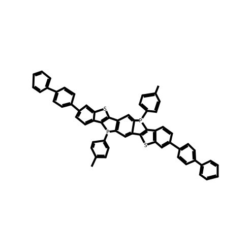 Cc1ccc(-p2c3cc4c5sc6cc(-c7ccc(-c8ccccc8)cc7)ccc6c5p(-c5ccc(C)cc5)c4cc3c3sc4cc(-c5ccc(-c6ccccc6)cc5)ccc4c32)cc1